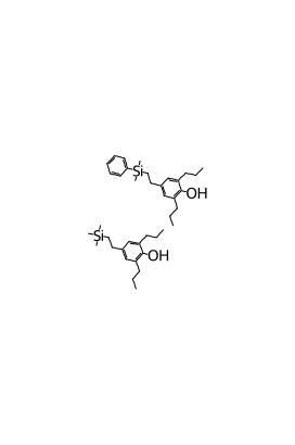 CCCc1cc(CC[Si](C)(C)C)cc(CCC)c1O.CCCc1cc(CC[Si](C)(C)c2ccccc2)cc(CCC)c1O